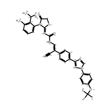 Cc1cccc(N2C(=O)CS/C2=N\C(=O)N/C=C(\C#N)c2ccc(-c3ncn(-c4ccc(OC(F)(F)F)cc4)n3)cc2)c1C(C)C